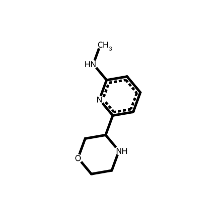 CNc1cccc(C2COCCN2)n1